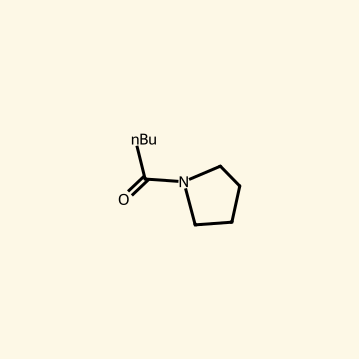 [CH2]CCCC(=O)N1CCCC1